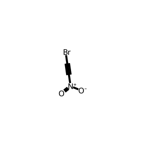 O=[N+]([O-])C#CBr